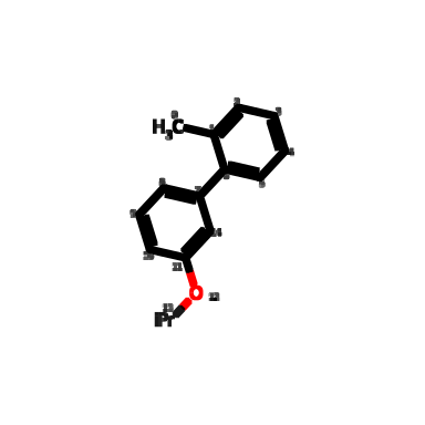 Cc1ccccc1-c1cccc(OC(C)C)c1